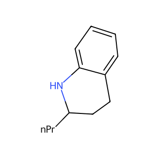 CCCC1CCc2ccccc2N1